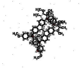 CC[C@H](OC)C(C)N(c1ccc(OC)cc1)c1ccc2c(c1)C(C1c3cc(N(c4ccc(OC)cc4)[C@@H](C)C(C)OC)ccc3-c3ccc(N(c4ccc(OC)cc4)[C@@H](C)C(C)OC)cc31)c1cc(N(c3ccc(OC)cc3)c3ccc(OC)cc3)ccc1-2